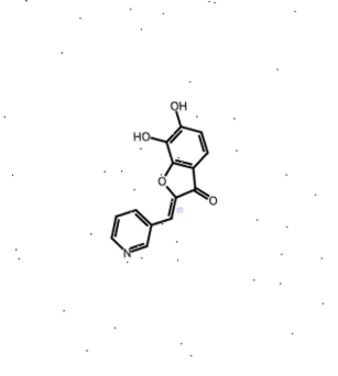 O=C1/C(=C/c2cccnc2)Oc2c1ccc(O)c2O